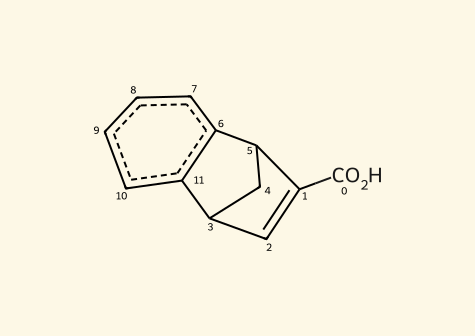 O=C(O)C1=CC2CC1c1ccccc12